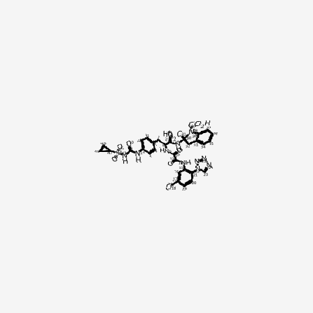 O=C(Nc1ccc(CC(NC(=O)C(=O)Nc2cc(Cl)ccc2-n2cnnn2)C(=O)NC2(C(=O)O)Cc3ccccc3N2C(=O)O)cc1)NS(=O)(=O)C1CC1